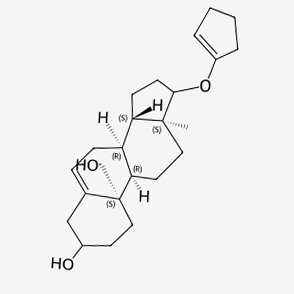 C[C@]12CC[C@@H]3[C@@H](CC=C4CC(O)CC[C@@]43CO)[C@@H]1CCC2OC1=CCCC1